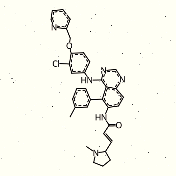 Cc1cccc(-c2c(NC(=O)/C=C/C3CCCN3C)ccc3ncnc(Nc4ccc(OCc5ccccn5)c(Cl)c4)c23)c1